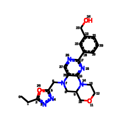 CCc1nnc(CN2CC3COCCN3c3nc(-c4cccc(CO)c4)ncc32)o1